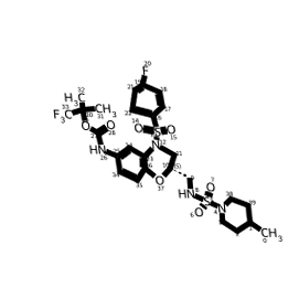 CC1CCN(S(=O)(=O)NC[C@H]2CN(S(=O)(=O)c3ccc(F)cc3)c3cc(NC(=O)OC(C)(C)C(F)(F)F)ccc3O2)CC1